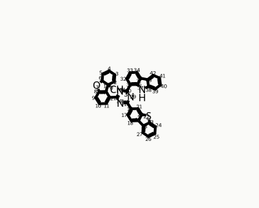 CC12C=CC=CC1Oc1cccc(-c3nc(-c4ccc5c(c4)sc4ccccc45)nc(-c4cccc5c4[nH]c4ccccc45)n3)c12